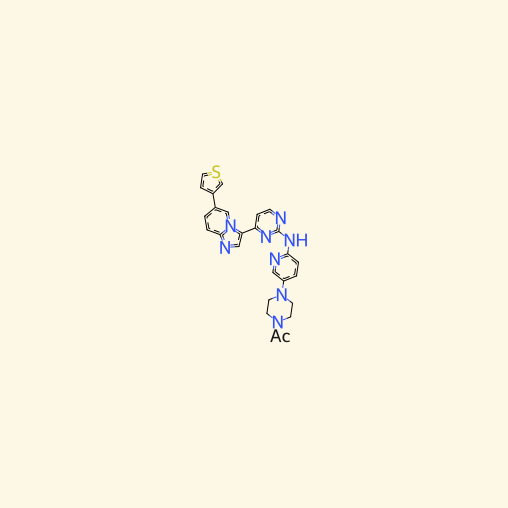 CC(=O)N1CCN(c2ccc(Nc3nccc(-c4cnc5ccc(-c6ccsc6)cn45)n3)nc2)CC1